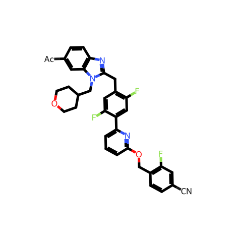 CC(=O)c1ccc2nc(Cc3cc(F)c(-c4cccc(OCc5ccc(C#N)cc5F)n4)cc3F)n(CC3CCOCC3)c2c1